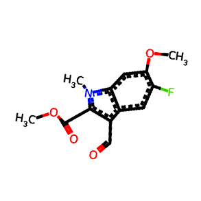 COC(=O)c1c(C=O)c2cc(F)c(OC)cc2n1C